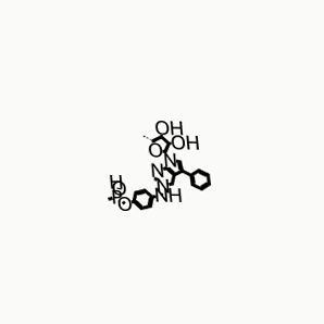 C[C@H]1O[C@@H](n2cc(-c3ccccc3)c3c2N=CN(Nc2ccc(O[PH](C)=O)cc2)C3)[C@H](O)[C@@H]1O